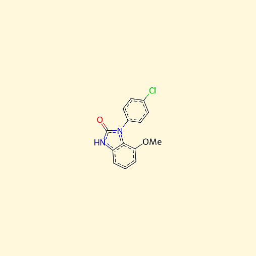 COc1cccc2[nH]c(=O)n(-c3ccc(Cl)cc3)c12